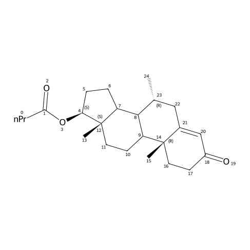 CCCC(=O)O[C@H]1CCC2C3C(CC[C@@]21C)[C@@]1(C)CCC(=O)C=C1C[C@H]3C